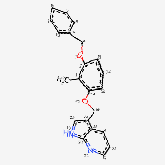 Cc1c(OCc2ccccc2)cccc1OCc1c[nH]c2ncccc12